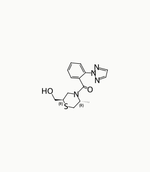 C[C@@H]1CS[C@@H](CO)CN1C(=O)c1ccccc1-n1nccn1